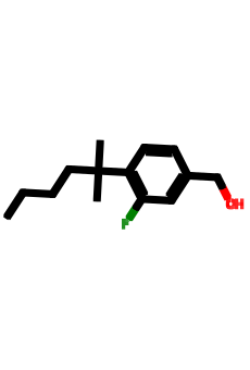 CCCCC(C)(C)c1ccc(CO)cc1F